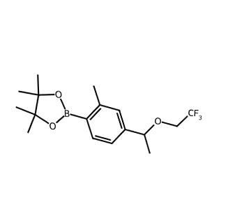 Cc1cc(C(C)OCC(F)(F)F)ccc1B1OC(C)(C)C(C)(C)O1